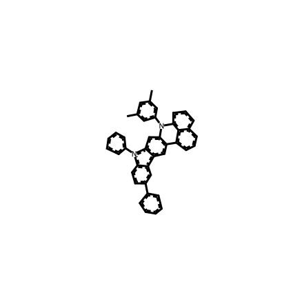 Cc1cc(C)cc(N2c3cc4c(cc3-c3cccc5cccc2c35)c2cc(-c3ccccc3)ccc2n4-c2ccccc2)c1